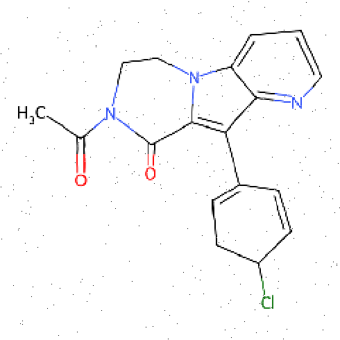 CC(=O)N1CCn2c(c(C3=CCC(Cl)C=C3)c3ncccc32)C1=O